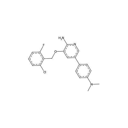 CN(C)c1ccc(-c2cnc(N)c(OCc3c(F)cccc3Cl)c2)cc1